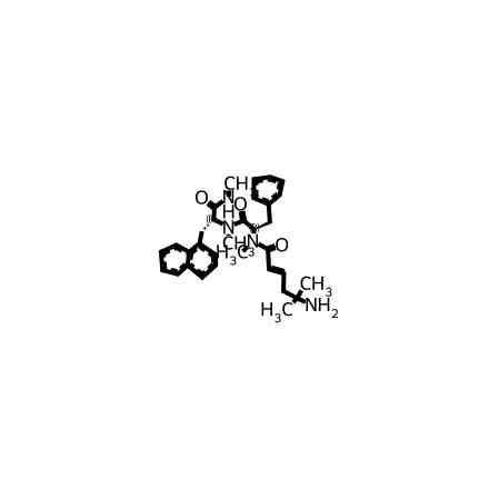 CNC(=O)[C@@H](Cc1cccc2ccccc12)N(C)C(=O)[C@@H](Cc1ccccc1)N(C)C(=O)C=CCC(C)(C)N